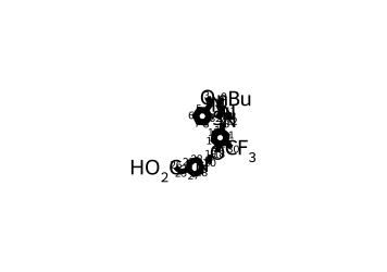 CCCCN(C(=O)c1ccccc1)c1nnc(-c2ccc(OCCN3CCC(CC(=O)O)CC3)c(C(F)(F)F)c2)s1